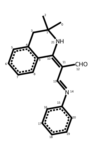 CC1(C)Cc2ccccc2C(=C(C=O)C=Nc2ccccc2)N1